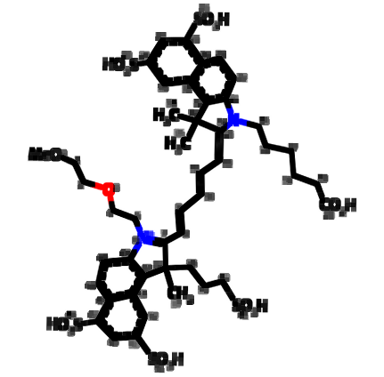 COCCOCC[N+]1=C(/C=C/C=C/C=C2/N(CCCCCC(=O)O)c3ccc4c(S(=O)(=O)O)cc(S(=O)(=O)O)cc4c3C2(C)C)C(C)(CCCS(=O)(=O)O)c2c1ccc1c(S(=O)(=O)O)cc(S(=O)(=O)O)cc21